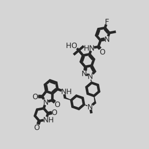 Cc1nc(C(=O)Nc2cc3cn([C@H]4CC[C@H](CN(C)[C@H]5CC[C@H](CNc6cccc7c6C(=O)N(C6CCC(=O)NC6=O)C7=O)CC5)CC4)nc3cc2C(C)(C)O)ccc1F